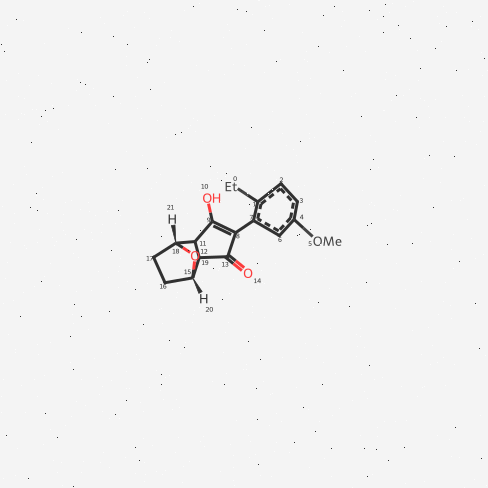 CCc1ccc(OC)cc1C1=C(O)C2C(C1=O)[C@@H]1CC[C@H]2O1